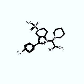 CC(O)C(N1CC[CH]CC1)n1nc(-c2ccc(C(F)(F)F)cc2)c2c1CCN(S(C)(=O)=O)C2